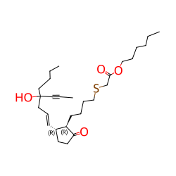 CC#CC(O)(CC=C[C@H]1CCC(=O)[C@@H]1CCCCSCC(=O)OCCCCCC)CCCC